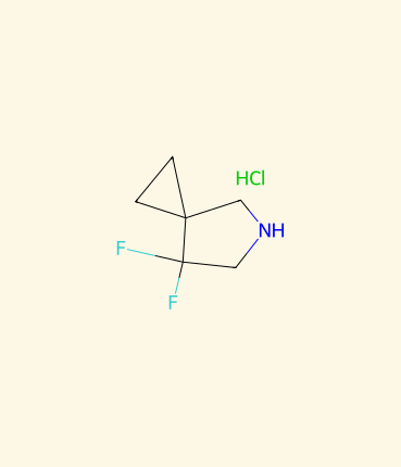 Cl.FC1(F)CNCC12CC2